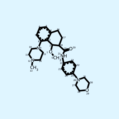 COC1c2c(cccc2N2CCN(C)CC2)CCC1C(=O)Nc1ccc(N2CCOCC2)cc1